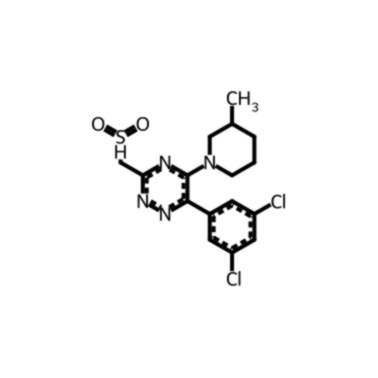 CC1CCCN(c2nc(C[SH](=O)=O)nnc2-c2cc(Cl)cc(Cl)c2)C1